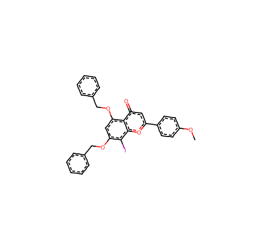 COc1ccc(-c2cc(=O)c3c(OCc4ccccc4)cc(OCc4ccccc4)c(I)c3o2)cc1